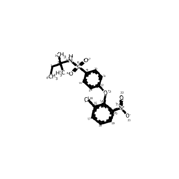 CCC(C)(C)NS(=O)(=O)c1ccc(Oc2c(Cl)cccc2[N+](=O)[O-])cc1